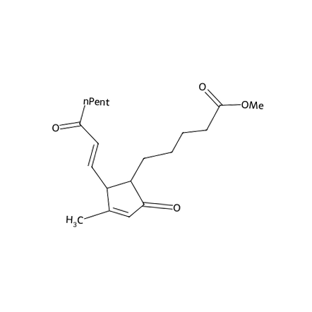 CCCCCC(=O)C=CC1C(C)=CC(=O)C1CCCCC(=O)OC